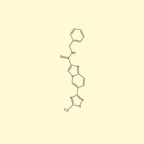 O=C(NCc1ccccc1)c1cn2cc(-c3noc(C(F)(F)F)n3)ccc2n1